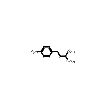 O=C(O)C(CCc1ccc([N+](=O)[O-])cc1)C(=O)O